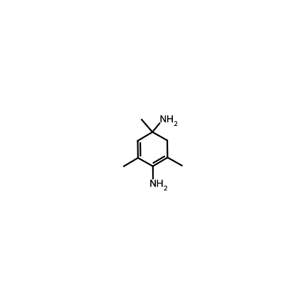 CC1=CC(C)(N)CC(C)=C1N